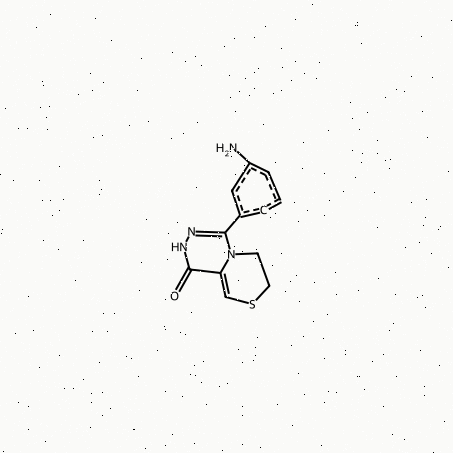 Nc1cccc(C2=NNC(=O)C3=CSCCN32)c1